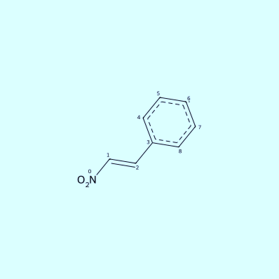 O=[N+]([O-])C=Cc1cc[c]cc1